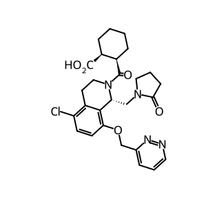 O=C(O)[C@H]1CCCC[C@H]1C(=O)N1CCc2c(Cl)ccc(OCc3cccnn3)c2[C@H]1CN1CCCC1=O